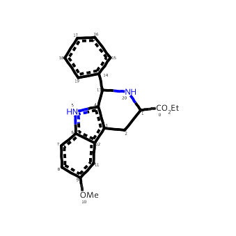 CCOC(=O)C1Cc2c([nH]c3ccc(OC)cc23)C(c2ccccc2)N1